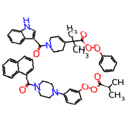 CC(C)(C(=O)OOc1ccccc1)C1=CCN(C(=O)c2c[nH]c3ccccc23)CC1.CC(C)C(=O)OOc1cccc(N2CCN(C(=O)c3cccc4ccccc34)CC2)c1